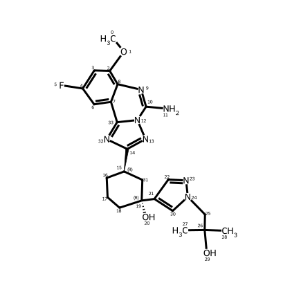 COc1cc(F)cc2c1nc(N)n1nc([C@@H]3CCC[C@](O)(c4cnn(CC(C)(C)O)c4)C3)nc21